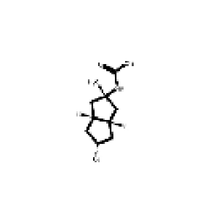 C[C@]1(NC(=O)O)C[C@H]2C[C@@H](O)C[C@H]2C1